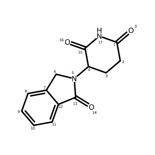 O=C1CCC(N2Cc3ccccc3C2=O)C(=O)N1